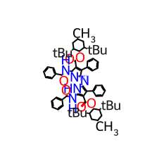 CC1CC(C(C)(C)C)C(OC(=O)C2=C(c3ccccc3)/C(=N/c3[nH]c(NC(=O)c4ccccc4)c(C(=O)OC4C(C(C)(C)C)CC(C)CC4C(C)(C)C)c3-c3ccccc3)N=C2NC(=O)c2ccccc2)C(C(C)(C)C)C1